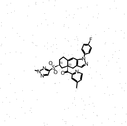 Cc1ccnc(C(=O)[C@]23Cc4cnn(-c5ccc(F)cc5)c4C=C2CC[C@H](S(=O)(=O)c2cnn(C)n2)C3)c1